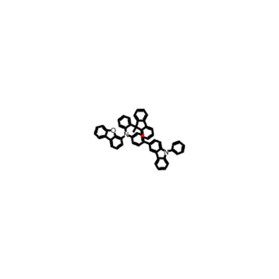 CC1(c2ccccc2N(c2ccc(-c3ccc4c(c3)c3ccccc3n4-c3ccccc3)cc2)c2cccc3c2oc2ccccc23)c2ccccc2-c2ccccc21